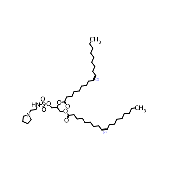 CCCCCCCC/C=C\CCCCCCCC(=O)OCC(COS(=O)(=O)NCCN1CCCC1)OC(=O)CCCCCCC/C=C\CCCCCCCC